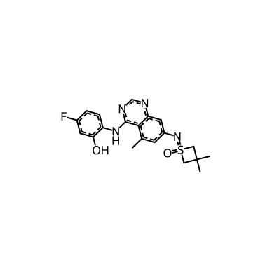 Cc1cc(N=S2(=O)CC(C)(C)C2)cc2ncnc(Nc3ccc(F)cc3O)c12